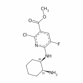 COC(=O)c1cc(F)c(N[C@@H]2CCCC[C@@H]2N)nc1Cl